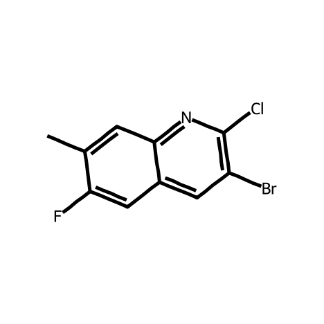 Cc1cc2nc(Cl)c(Br)cc2cc1F